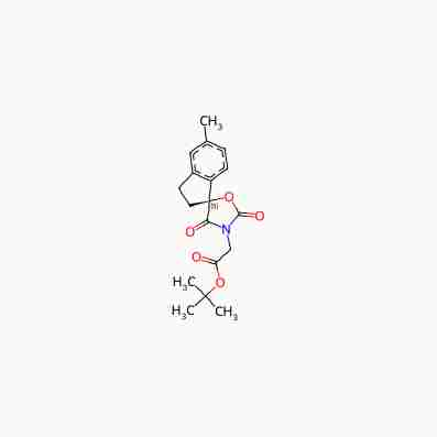 Cc1ccc2c(c1)CC[C@]21OC(=O)N(CC(=O)OC(C)(C)C)C1=O